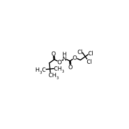 CC(C)(C)CC(=O)ONC(=O)OCC(Cl)(Cl)Cl